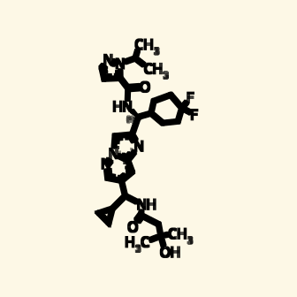 CC(C)n1nccc1C(=O)N[C@H](c1cn2ncc(C(NC(=O)CC(C)(C)O)C3CC3)cc2n1)C1CCC(F)(F)CC1